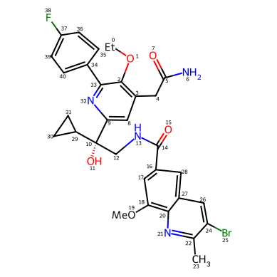 CCOc1c(CC(N)=O)cc([C@@](O)(CNC(=O)c2cc(OC)c3nc(C)c(Br)cc3c2)C2CC2)nc1-c1ccc(F)cc1